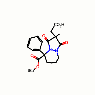 CC(C)(C)OC(=O)C1(c2ccccc2)CCCN2C(=O)C(C)(CC(=O)O)C(=O)N21